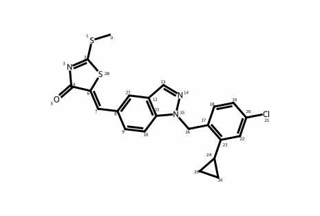 CSC1=NC(=O)C(=Cc2ccc3c(cnn3Cc3ccc(Cl)cc3C3CC3)c2)S1